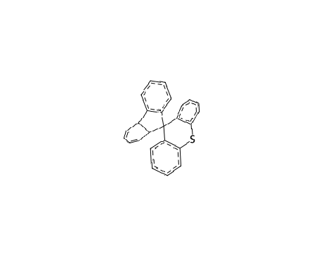 C1=CC2c3ccccc3C3(c4ccccc4Sc4ccccc43)C2C=C1